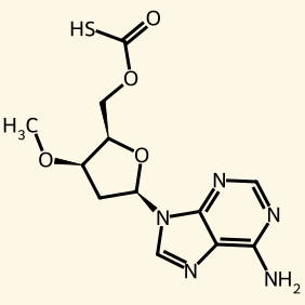 CO[C@@H]1C[C@H](n2cnc3c(N)ncnc32)O[C@@H]1COC(=O)S